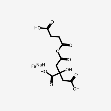 O=C(O)CCC(=O)OC(=O)CC(O)(CC(=O)O)C(=O)O.[Fe].[NaH]